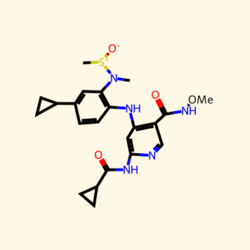 CONC(=O)c1cnc(NC(=O)C2CC2)cc1Nc1ccc(C2CC2)cc1N(C)[S+](C)[O-]